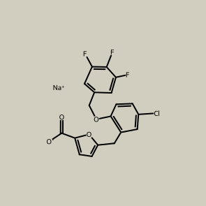 O=C([O-])c1ccc(Cc2cc(Cl)ccc2OCc2cc(F)c(F)c(F)c2)o1.[Na+]